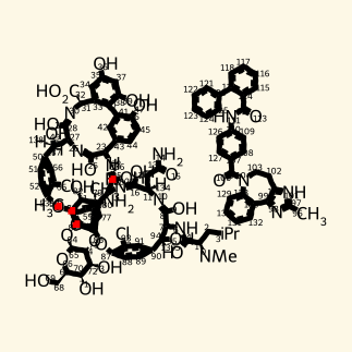 CN[C@H](CC(C)C)C(=O)NC1C(O)=N[C@@H](CC(N)=O)C(O)=N[C@H]2C(O)=N[C@H]3C(O)=N[C@H](C(O)=N[C@H](C(=O)O)c4cc(O)cc(O)c4-c4cc3ccc4O)[C@H](O)c3ccc(c(Cl)c3)Oc3cc2cc(c3O[C@@H]2O[C@H](CO)[C@@H](O)[C@H](O)[C@H]2O[C@H]2C[C@](C)(N)[C@H](O)[C@H](C)O2)Oc2ccc(cc2Cl)[C@H]1O.Cc1nc2c([nH]1)CCN(C(=O)c1ccc(NC(=O)c3ccccc3-c3ccccc3)cc1)c1ccccc1-2